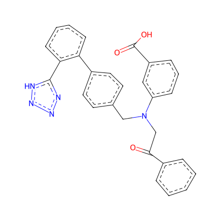 O=C(O)c1cccc(N(CC(=O)c2ccccc2)Cc2ccc(-c3ccccc3-c3nnn[nH]3)cc2)c1